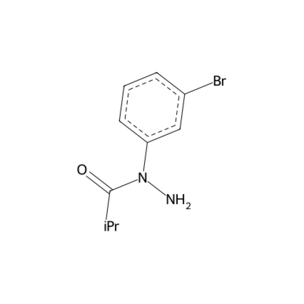 CC(C)C(=O)N(N)c1cccc(Br)c1